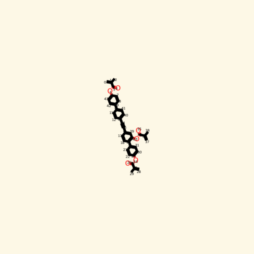 C=C(C)C(=O)Oc1ccc(-c2ccc(C#Cc3ccc(-c4ccc(OC(=O)C(=C)C)cc4)c(OC(=O)C(=C)C)c3)cc2)cc1